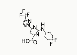 O=C(O)c1cc(-n2ccc(C(F)(F)F)n2)nc(NC2CCC(F)(F)CC2)n1